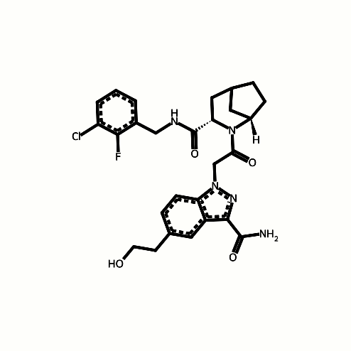 NC(=O)c1nn(CC(=O)N2[C@H]3CCC(C3)C[C@H]2C(=O)NCc2cccc(Cl)c2F)c2ccc(CCO)cc12